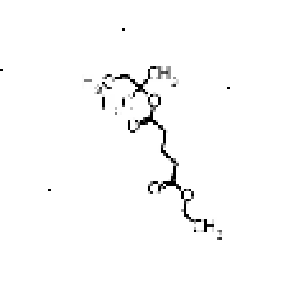 CCOC(=O)CCCC(=O)OC(C)(C)CC